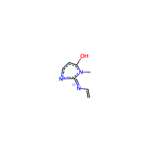 C=C/N=c1/nccc(O)n1C